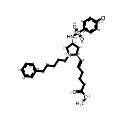 COC(=O)CCCC=C[C@@H]1C[C@@H](NS(=O)(=O)c2ccc(Cl)cc2)CN1CCCCCc1ccccc1